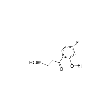 C#CCCC(=O)c1ccc(F)cc1OCC